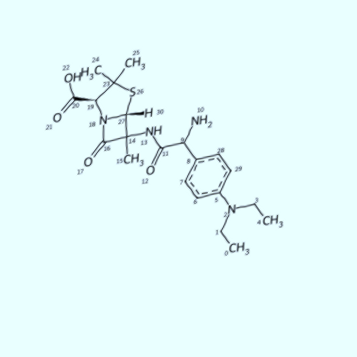 CCN(CC)c1ccc(C(N)C(=O)NC2(C)C(=O)N3[C@@H](C(=O)O)C(C)(C)S[C@@H]32)cc1